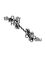 CC(C)[C@H](NC(=O)OC(C)(C)C)C(=O)Nc1nnc(CCCCc2nnc(NC(=O)[C@H](NC(=O)OC(C)(C)C)C(C)C)s2)s1